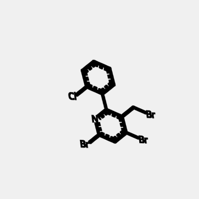 Clc1ccccc1-c1nc(Br)cc(Br)c1CBr